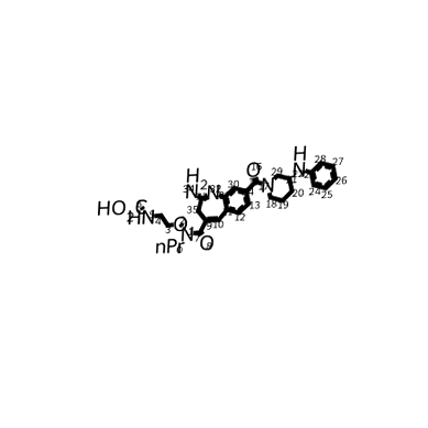 CCCN(OCCNC(=O)O)C(=O)C1=Cc2ccc(C(=O)N3CCC[C@@H](Nc4ccccc4)C3)cc2N=C(N)C1